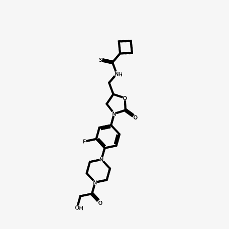 O=C(CO)N1CCN(c2ccc(N3CC(CNC(=S)C4CCC4)OC3=O)cc2F)CC1